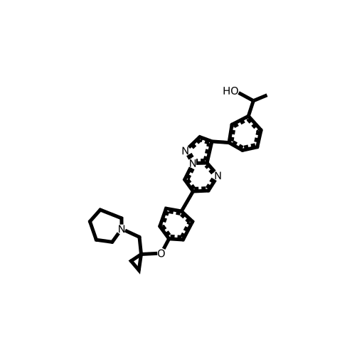 CC(O)c1cccc(-c2cnn3cc(-c4ccc(OC5(CN6CCCCC6)CC5)cc4)cnc23)c1